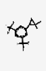 CC1(C)CC1c1cc(C(F)(F)F)cc(C(F)(F)F)c1